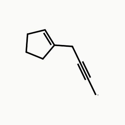 [CH2]C#CCC1=CCCC1